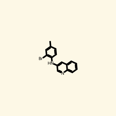 Cc1ccc(Nc2cnc3ccccc3c2)c(Br)c1